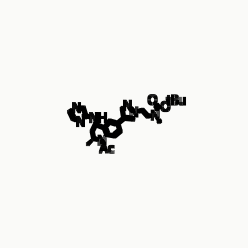 CC(=O)N1c2ccc(-c3cnn(CCN(C)C(=O)OC(C)(C)C)c3)cc2[C@H](Nc2cnccn2)C[C@@H]1C